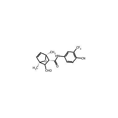 C[C@]12C=C[C@](C)(O1)[C@H](C(=O)Nc1ccc(C#N)c(C(F)(F)F)c1)C2C=O